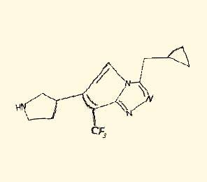 FC(F)(F)c1c(C2CCNC2)ccn2c(CC3CC3)nnc12